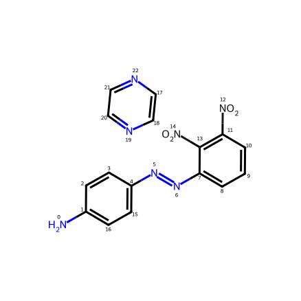 Nc1ccc(N=Nc2cccc([N+](=O)[O-])c2[N+](=O)[O-])cc1.c1cnccn1